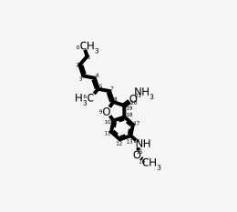 CC\C=C/C=C(C)/C=C1\Oc2ccc(NOC)cc2C1=O.N